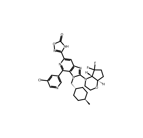 C[C@H]1CC[C@H](Cn2c(N3CCO[C@@H]4CCC(F)(F)[C@H]43)nc3cc(-c4noc(=O)[nH]4)nc(-c4cncc(Cl)c4)c32)CC1